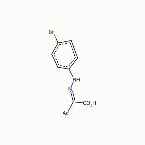 CC(=O)C(=NNc1ccc(Br)cc1)C(=O)O